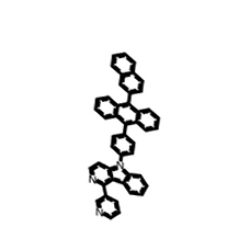 c1cncc(-c2nccc3c2c2ccccc2n3-c2ccc(-c3c4ccccc4c(-c4ccc5ccccc5c4)c4ccccc34)cc2)c1